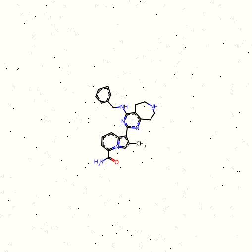 Cc1cn2c(C(N)=O)cccc2c1-c1nc2c(c(NCc3ccccc3)n1)CCNCC2